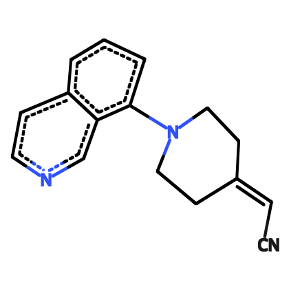 N#CC=C1CCN(c2cccc3ccncc23)CC1